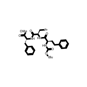 COC(=O)[C@@H](Cc1ccccc1)NC(=O)[C@@H](CC(C)C)NC(=O)[C@@H](CCc1ccccc1)NC(=O)OC(C)(C)C